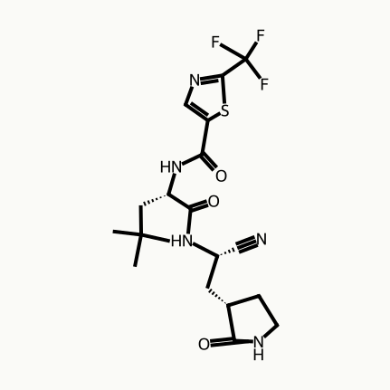 CC(C)(C)C[C@H](NC(=O)c1cnc(C(F)(F)F)s1)C(=O)N[C@H](C#N)C[C@@H]1CCNC1=O